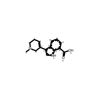 CN1CCC=C(c2c[nH]c3c(C(=O)O)cccc23)C1